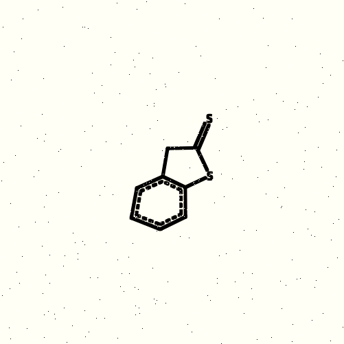 S=C1Cc2ccccc2S1